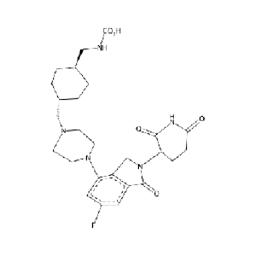 O=C(O)NC[C@H]1CC[C@H](CN2CCN(c3cc(F)cc4c3CN(C3CCC(=O)NC3=O)C4=O)CC2)CC1